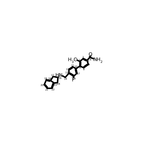 Cc1cc(C(N)=O)ccc1-c1ccc(CNC2Cc3ccccc3C2)c(F)c1